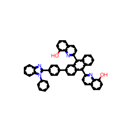 Oc1cccc2ccc(-c3c4ccccc4c(-c4ccc5cccc(O)c5n4)c4cc(-c5ccc(-c6nc7ccccc7n6-c6ccccc6)cc5)ccc34)nc12